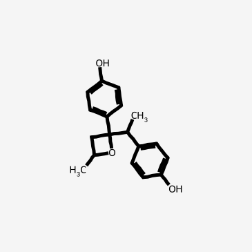 CC1CC(c2ccc(O)cc2)(C(C)c2ccc(O)cc2)O1